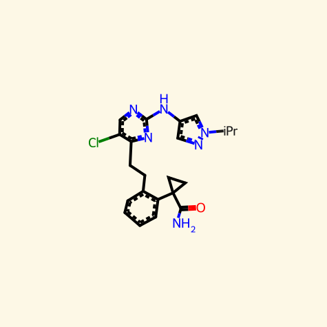 CC(C)n1cc(Nc2ncc(Cl)c(CCc3ccccc3C3(C(N)=O)CC3)n2)cn1